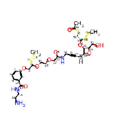 CSSC(COc1cccc(C(=O)NCCN)c1)OCCOCC(=O)NCC#CBC1OC(CO)C1O[C@H](CSC(C)=O)SSC